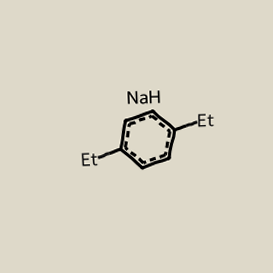 CCc1ccc(CC)cc1.[NaH]